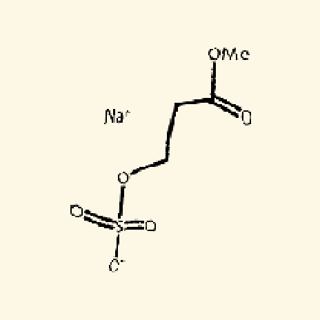 COC(=O)CCOS(=O)(=O)[O-].[Na+]